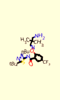 CCCCn1nc(C(C)(C)C)sc1=NC(=O)c1cc(C(F)(F)F)ccc1ON=CC(C)(C)CN